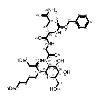 CCCCCCCCCCCCCCN(C(=O)CCCCCCCCCCC)[C@@H]1O[C@H](CO)[C@@H](O)[C@H](O)[C@H]1NC(=O)CNC(=O)[C@H](CCC(N)=O)NC(=O)OCc1ccccc1